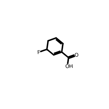 O=C(O)C1=C[C](F)CC=C1